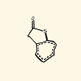 O=C1Cc2c[c]ccc2S1